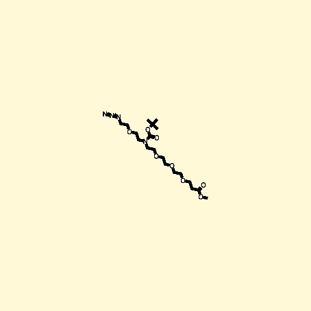 COC(=O)CCOCCOCCOCCN(CCOCCN=[N+]=[N-])C(=O)OC(C)(C)C